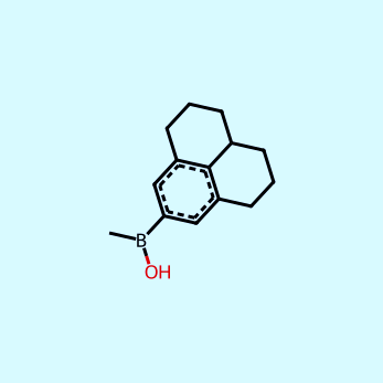 CB(O)c1cc2c3c(c1)CCCC3CCC2